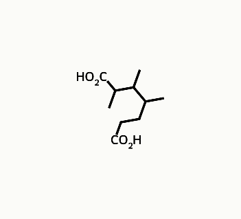 CC(CCC(=O)O)C(C)C(C)C(=O)O